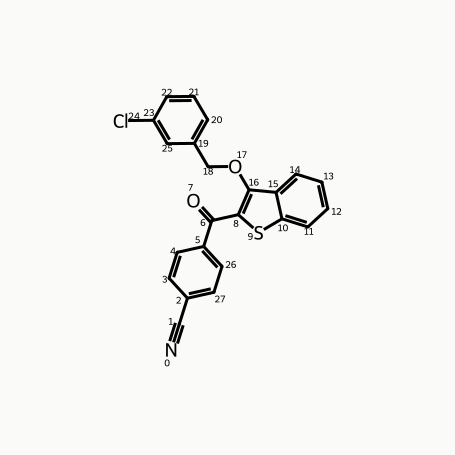 N#Cc1ccc(C(=O)c2sc3ccccc3c2OCc2cccc(Cl)c2)cc1